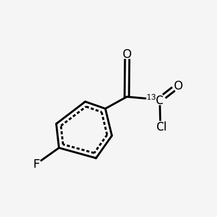 O=C(c1ccc(F)cc1)[13C](=O)Cl